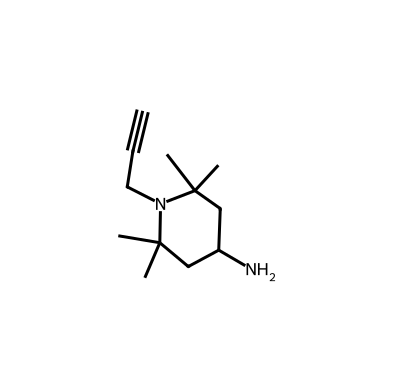 C#CCN1C(C)(C)CC(N)CC1(C)C